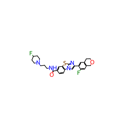 O=C(NCCCN1CCC(F)CC1)c1ccc2c(c1)sc1nc(-c3cc4c(cc3F)COCC4)cn12